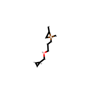 CC1CS1(C)CCCOCC1CC1